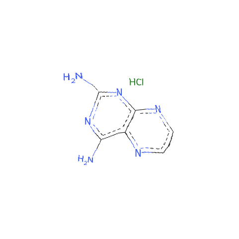 Cl.Nc1nc(N)c2nccnc2n1